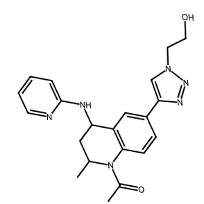 CC(=O)N1c2ccc(-c3cn(CCO)nn3)cc2C(Nc2ccccn2)CC1C